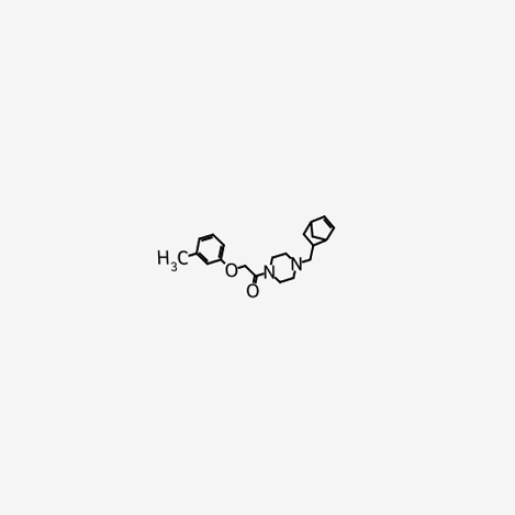 Cc1cccc(OCC(=O)N2CCN(CC3CC4C=CC3C4)CC2)c1